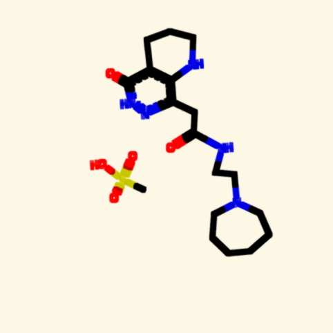 CS(=O)(=O)O.O=C(Cc1n[nH]c(=O)c2c1NCCC2)NCCN1CCCCCC1